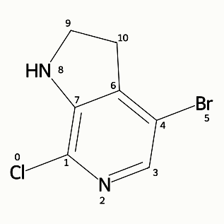 Clc1ncc(Br)c2c1NCC2